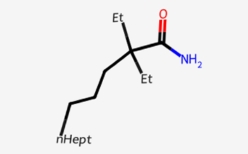 CCCCCCCCCCC(CC)(CC)C(N)=O